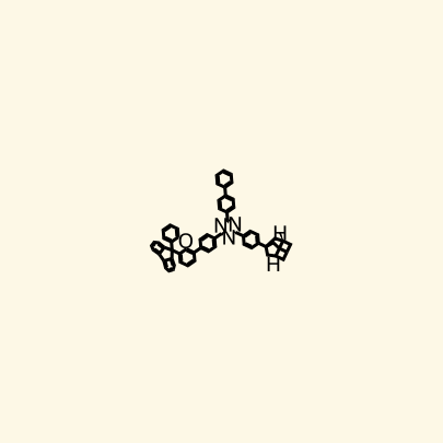 c1ccc(-c2ccc(-c3nc(-c4ccc(-c5cccc6c5Oc5ccccc5C65c6ccccc6-c6ccccc65)cc4)nc(-c4ccc(C56C[C@@H]7CC8C[C@@H](C5)C87C6)cc4)n3)cc2)cc1